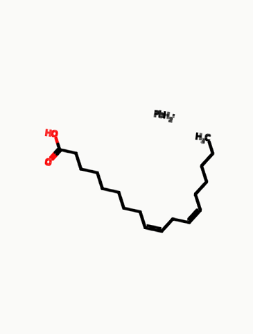 CCCCC/C=C\C/C=C\CCCCCCCC(=O)O.[PbH2]